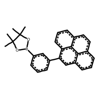 CC1(C)OB(c2cccc(-c3cc4cccc5ccc6cccc3c6c54)c2)OC1(C)C